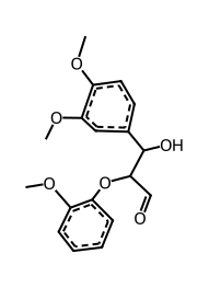 COc1ccc(C(O)C(C=O)Oc2ccccc2OC)cc1OC